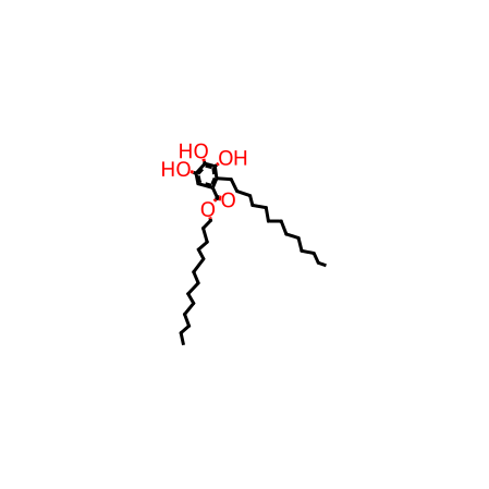 CCCCCCCCCCCCCOC(=O)c1cc(O)c(O)c(O)c1CCCCCCCCCCCCC